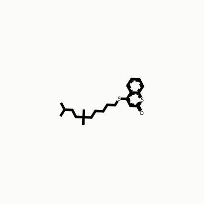 CC(C)CCC(C)(C)CCCCCSc1cc(=O)sc2ccccc12